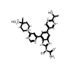 CCN(C(N)=O)c1nc2cc(-c3cnc(C(C)O)nc3)cc(-c3cc(N4CCC(C)(C(=O)O)CC4)ncn3)c2s1